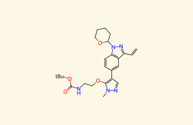 C=Cc1nn(C2CCCCO2)c2ccc(-c3cnn(C)c3OCCNC(=O)OC(C)(C)C)cc12